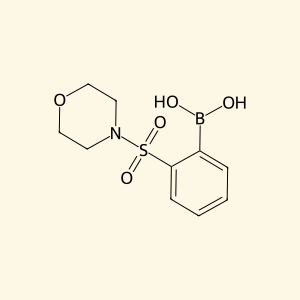 O=S(=O)(c1ccccc1B(O)O)N1CCOCC1